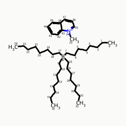 CCCCCCCC[B-](CCCCCCCC)(CCCCCCCC)CCCCCCCC.C[n+]1cccc2ccccc21